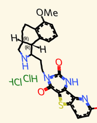 COc1cccc2c1CC[C@H]1CNC(CCn3c(=O)[nH]c4c(sc5ccc(O)nc54)c3=O)[C@@H]21.Cl.Cl